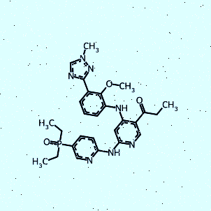 CCC(=O)c1cnc(Nc2ccc(P(=O)(CC)CC)cn2)cc1Nc1cccc(-c2ncn(C)n2)c1OC